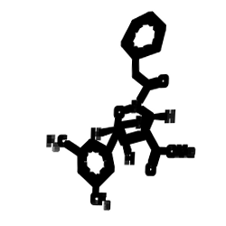 COC(=O)N1[C@H](c2cc(C(F)(F)F)cc(C(F)(F)F)c2)[C@@H]2C=C[C@H]1N(C(=O)Cc1ccccc1)O2